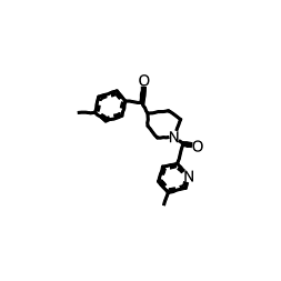 Cc1ccc(C(=O)C2CCN(C(=O)c3ccc(C)cn3)CC2)cc1